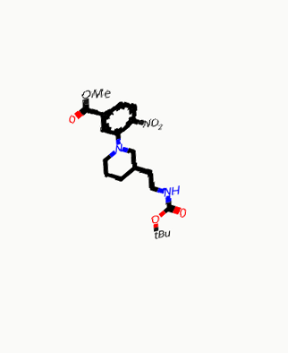 COC(=O)c1ccc([N+](=O)[O-])c(N2CCCC(CCNC(=O)OC(C)(C)C)C2)c1